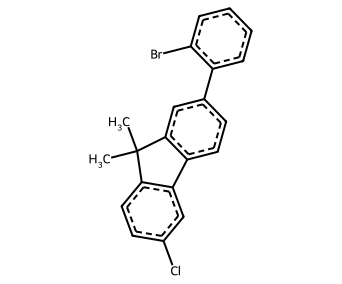 CC1(C)c2ccc(Cl)cc2-c2ccc(-c3ccccc3Br)cc21